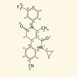 CC1=C(C(=O)NC2CC2)C(c2ccc(C#N)cc2)CC(=O)N1c1cccc(C(F)(F)F)c1